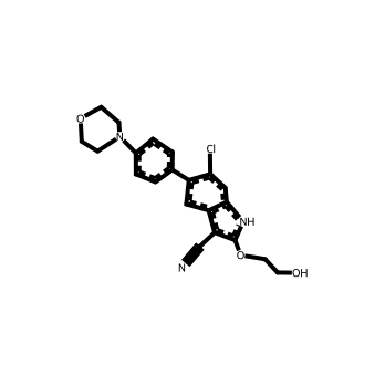 N#Cc1c(OCCO)[nH]c2cc(Cl)c(-c3ccc(N4CCOCC4)cc3)cc12